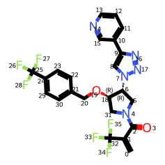 C=C(C(=O)N1C[C@@H](n2cc(-c3cccnc3)nn2)[C@H](OCc2ccc(C(F)(F)F)cc2)C1)C(F)(F)F